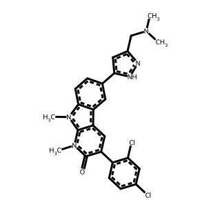 CN(C)Cc1cc(-c2ccc3c(c2)c2cc(-c4ccc(Cl)cc4Cl)c(=O)n(C)c2n3C)[nH]n1